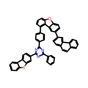 c1ccc(-c2nc(-c3ccc(-c4cccc5oc6ccc(-c7ccc8ccc9ccccc9c8c7)cc6c45)cc3)nc(-c3ccc4c(c3)sc3ccccc34)n2)cc1